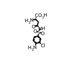 Nc1ccc(S(=O)(=O)NC(=O)C[C@H](N)C(=O)O)cc1Cl